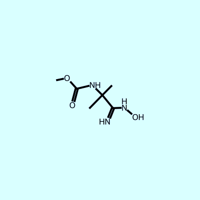 COC(=O)NC(C)(C)C(=N)NO